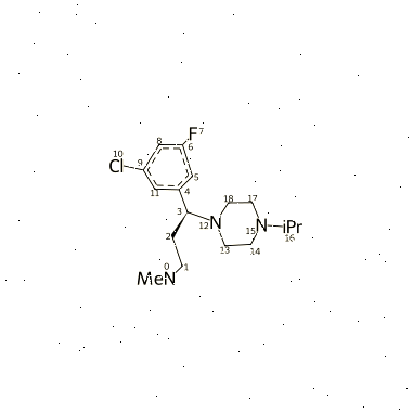 CNCC[C@@H](c1cc(F)cc(Cl)c1)N1CCN(C(C)C)CC1